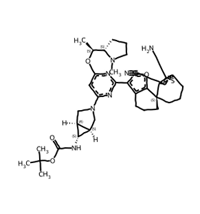 C[C@H](Oc1cc(N2C[C@@H]3[C@H](C2)[C@H]3NC(=O)OC(C)(C)C)nc(-c2noc3c2CCC[C@@]32CCCc3sc(N)c(C#N)c32)n1)[C@@H]1CCCN1C